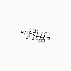 NC(Cl)(Cl)C(Cl)(Cl)C(Cl)(Cl)C(Cl)(Cl)C(Cl)(Cl)Cl